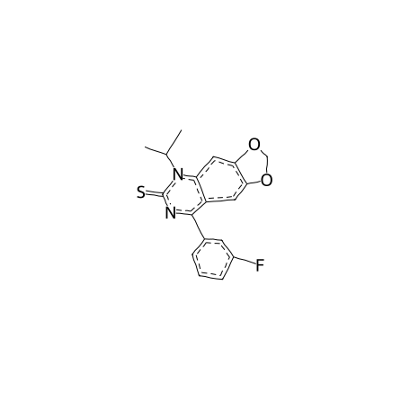 CC(C)n1c(=S)nc(-c2cccc(F)c2)c2cc3c(cc21)OCO3